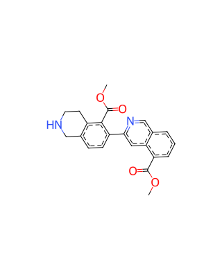 COC(=O)c1c(-c2cc3c(C(=O)OC)cccc3cn2)ccc2c1CCNC2